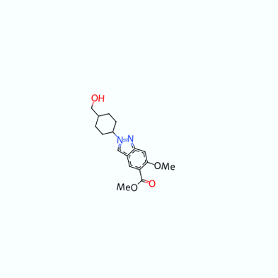 COC(=O)c1cc2cn(C3CCC(CO)CC3)nc2cc1OC